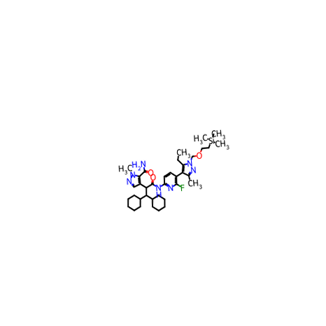 CCc1c(-c2ccc(NC(=O)C(c3cnn(C)c3C(N)=O)C(C3CCCCC3)C3CCCCC3)nc2F)c(C)nn1COCC[Si](C)(C)C